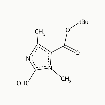 Cc1nc(C=O)n(C)c1C(=O)OC(C)(C)C